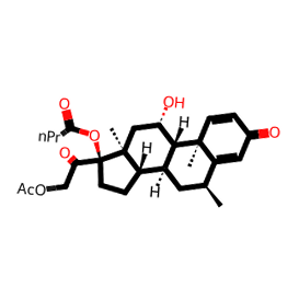 CCCC(=O)O[C@]1(C(=O)COC(C)=O)CC[C@H]2[C@@H]3C[C@H](C)C4=CC(=O)C=C[C@]4(C)[C@H]3[C@@H](O)C[C@@]21C